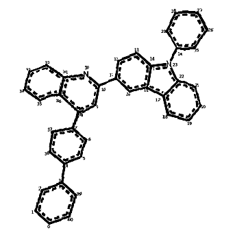 c1ccc(-c2ccc(-c3cc(-c4ccc5c(c4)c4ccccc4n5-c4ccccc4)nc4ccccc34)cc2)cc1